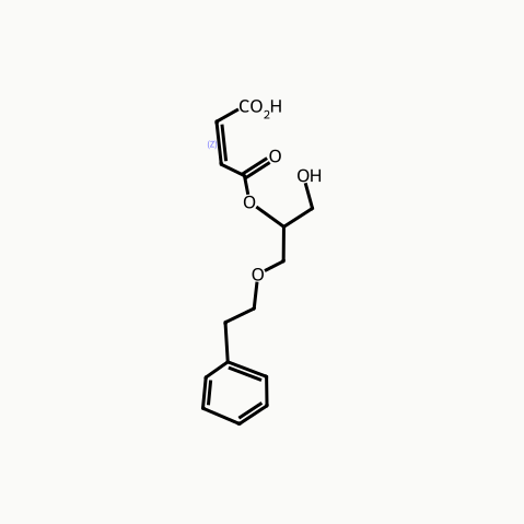 O=C(O)/C=C\C(=O)OC(CO)COCCc1ccccc1